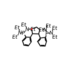 CCN(CC)P(c1ccccc1C1CCCC1c1ccccc1P(N(CC)CC)N(CC)CC)N(CC)CC